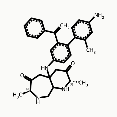 C=C(c1ccccc1)c1cc(NC23CC(=O)[C@H](C)NCC2N[C@@H](C)C(=O)C3)ccc1-c1ccc(N)cc1C